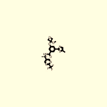 COC1(Oc2cc(C(=O)N[C@H](C)c3cnc(C(F)(F)F)nc3)cc(-c3ncc(C)s3)c2)COC1